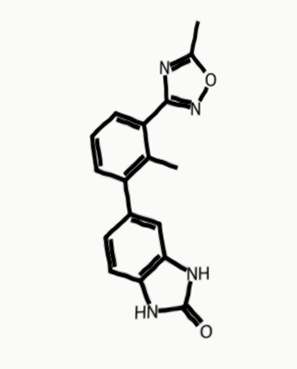 Cc1nc(-c2cccc(-c3ccc4[nH]c(=O)[nH]c4c3)c2C)no1